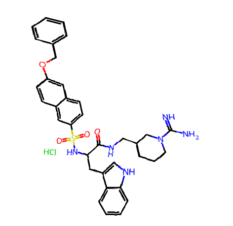 Cl.N=C(N)N1CCCC(CNC(=O)C(Cc2c[nH]c3ccccc23)NS(=O)(=O)c2ccc3cc(OCc4ccccc4)ccc3c2)C1